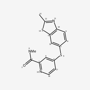 CNC(=O)c1cc(Sc2ccc3nc(C)sc3c2)ccn1